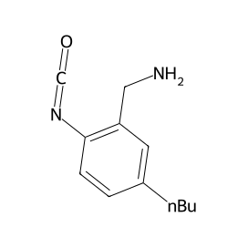 CCCCc1ccc(N=C=O)c(CN)c1